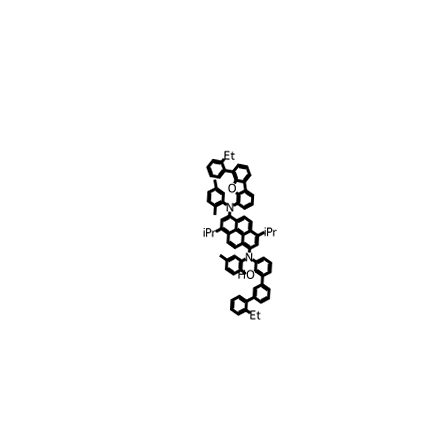 CCc1ccccc1-c1cccc(-c2cccc(N(c3cc(C)ccc3C)c3cc(C(C)C)c4ccc5c(N(c6cc(C)ccc6C)c6cccc7c6oc6c(-c8ccccc8CC)cccc67)cc(C(C)C)c6ccc3c4c65)c2O)c1